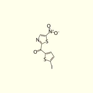 O=C(c1ccc(I)s1)c1ncc([N+](=O)[O-])s1